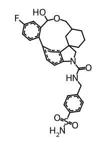 NS(=O)(=O)c1ccc(CNC(=O)N2CC34CCCC(COC(O)c5cc(F)ccc5-c5ccc2c3c5)C4)cc1